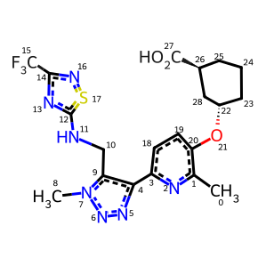 Cc1nc(-c2nnn(C)c2CNc2nc(C(F)(F)F)ns2)ccc1O[C@H]1CCC[C@H](C(=O)O)C1